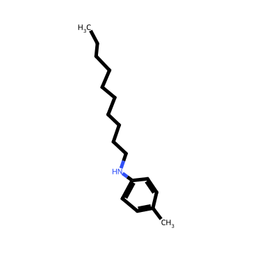 CCCCCCCCCCNc1ccc(C)cc1